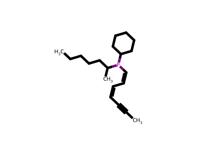 CC#C/C=C\C=C/P(C(C)CCCCC)C1CCCCC1